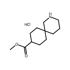 COC(=O)C1CCC2(CCCNC2)CC1.Cl